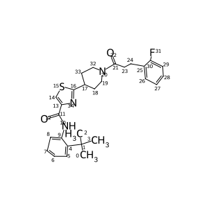 CC(C)(C)c1ccccc1NC(=O)c1csc(C2CCN(C(=O)CCc3ccccc3F)CC2)n1